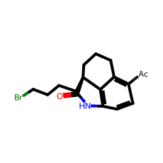 CC(=O)c1ccc2c3c1CCCC3(CCCCBr)C(=O)N2